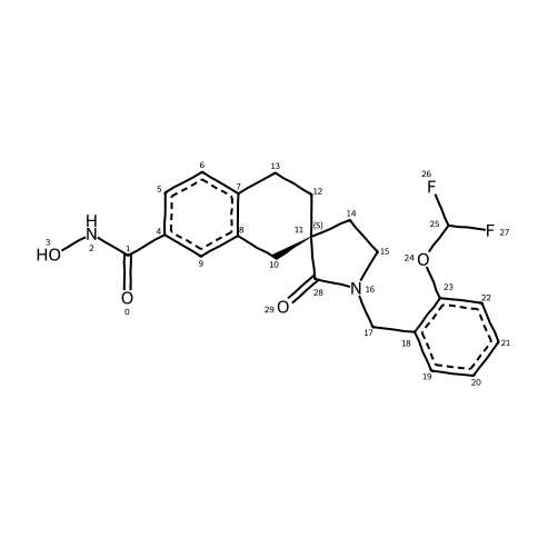 O=C(NO)c1ccc2c(c1)C[C@@]1(CC2)CCN(Cc2ccccc2OC(F)F)C1=O